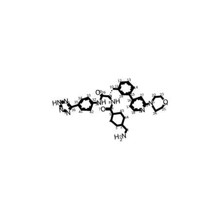 NCC1CCC(C(=O)N[C@@H](Cc2cccc(-c3ccnc(N4CCOCC4)c3)c2)C(=O)Nc2ccc(-c3nn[nH]n3)cc2)CC1